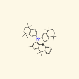 Cc1cc2c3c(c1)C(C)(C)c1ccccc1B3c1cc3c(cc1N2c1ccc2c(c1)C(C)(C)CCC2(C)C)C(C)(C)CCC3(C)C